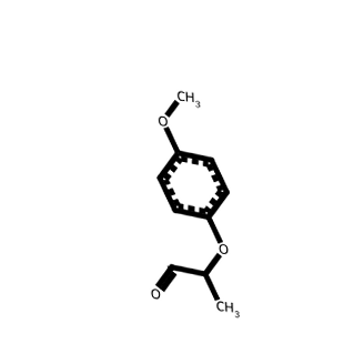 COc1ccc(OC(C)[C]=O)cc1